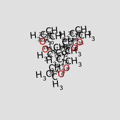 CC(C)(C)C(=O)CC(=O)C(C)(C)[CH2][Co]([CH2]C(C)(C)C(=O)CC(=O)C(C)(C)C)[CH2]C(C)(C)C(=O)CC(=O)C(C)(C)C